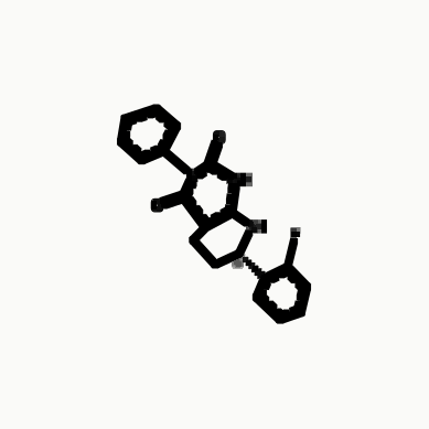 O=c1[nH]c2c(c(=O)n1-c1ccccc1)CC[C@@H](c1ccccc1F)N2